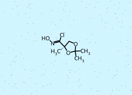 CC1(C)OC[C@](C)(/C(Cl)=N/O)O1